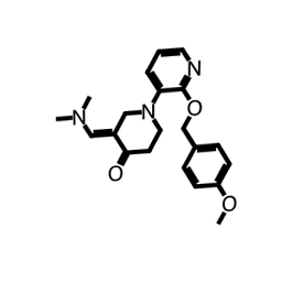 COc1ccc(COc2ncccc2N2CCC(=O)/C(=C/N(C)C)C2)cc1